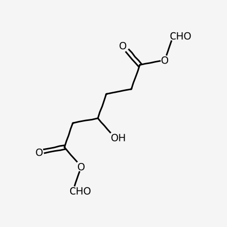 O=COC(=O)CCC(O)CC(=O)OC=O